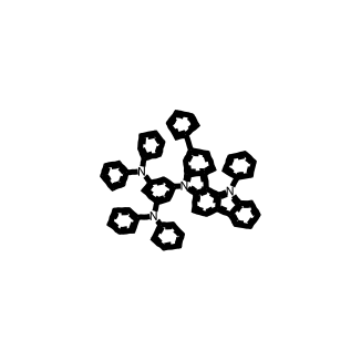 c1ccc(-c2ccc3c4c(ccc5c6ccccc6n(-c6ccccc6)c54)n(-c4cc(N(c5ccccc5)c5ccccc5)cc(N(c5ccccc5)c5ccccc5)c4)c3c2)cc1